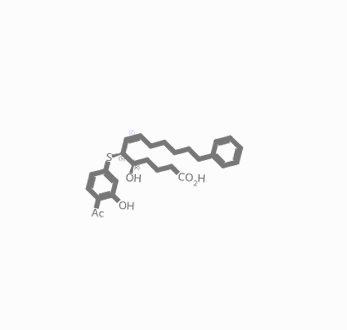 CC(=O)c1ccc(S[C@@H](/C=C\CCCCCc2ccccc2)[C@H](O)CCCC(=O)O)cc1O